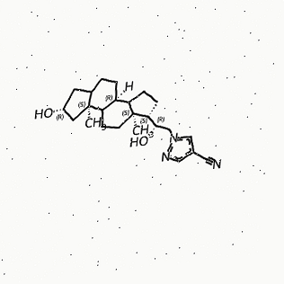 C[C@]12C[C@H](O)CC1CC[C@@H]1C2CC[C@@]2(C)C1CC[C@@H]2[C@@H](O)Cn1cc(C#N)cn1